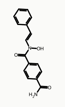 NC(=O)c1ccc(C(=O)N(O)C=Cc2ccccc2)cc1